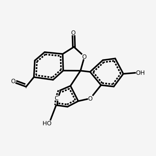 O=[C]c1ccc2c(c1)C1(OC2=O)c2ccc(O)cc2Oc2cc(O)ccc21